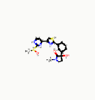 CN1CCC(O)(c2cccc(-c3nc(-c4ccnc([S+](C)[O-])n4)cs3)c2)C1=O